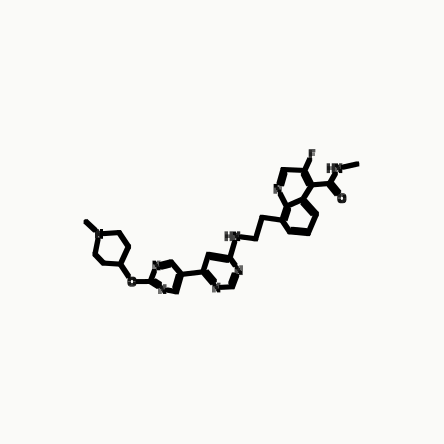 CNC(=O)c1c(F)cnc2c(CCNc3cc(-c4cnc(OC5CCN(C)CC5)nc4)ncn3)cccc12